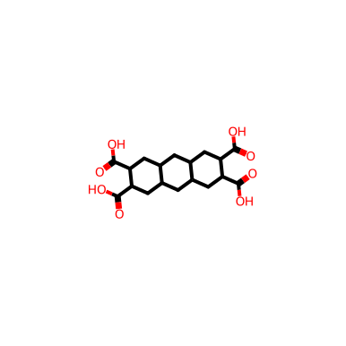 O=C(O)C1CC2CC3CC(C(=O)O)C(C(=O)O)CC3CC2CC1C(=O)O